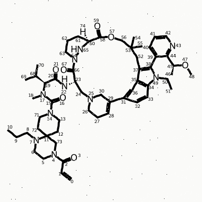 C=CC(=O)N1CCN(CCC)C2(CCN(C(=O)N(C)[C@H](C(=O)N[C@H]3CN4CCC=C(C4)c4ccc5c(c4)c(c(-c4cccnc4[C@H](C)OC)n5CC)CC(C)(C)COC(=O)[C@@H]4CCCN(N4)C3=O)C(C)C)CC2)C1